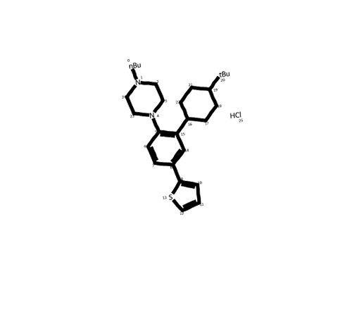 CCCCN1CCN(c2ccc(-c3cccs3)cc2C2CCC(C(C)(C)C)CC2)CC1.Cl